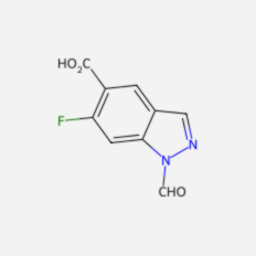 O=Cn1ncc2cc(C(=O)O)c(F)cc21